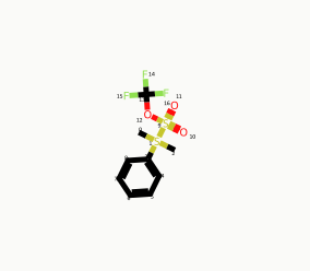 CS(C)(c1ccccc1)S(=O)(=O)OC(F)(F)F